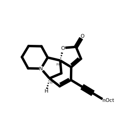 CCCCCCCCC#CC1=C[C@@H]2C[C@@]3(OC(=O)C=C13)C1CCCCN12